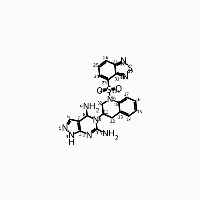 NC1=Nc2[nH]ncc2C(N)N1C1Cc2ccccc2N(S(=O)(=O)c2cccc3nsnc23)C1